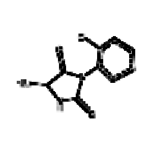 CCCCC1NC(=O)N(c2ccccc2Cl)C1=O